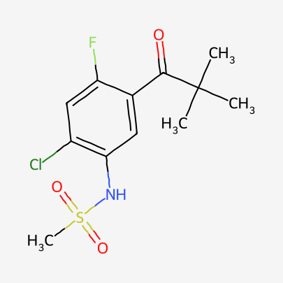 CC(C)(C)C(=O)c1cc(NS(C)(=O)=O)c(Cl)cc1F